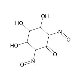 O=NC1C(=O)C(N=O)C(O)C(O)C1O